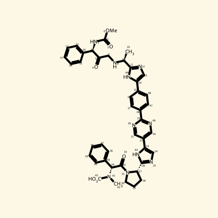 COC(=O)N[C@@H](C(=O)CN[C@@H](C)c1ncc(-c2ccc(-c3ncc(-c4cnc([C@@H]5CCCN5C(=O)[C@@H](c5ccccc5)N(C)C(=O)O)[nH]4)cn3)cc2)[nH]1)c1ccccc1